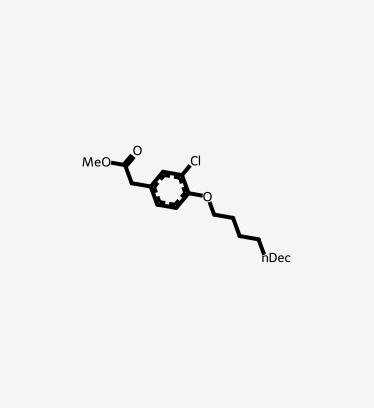 CCCCCCCCCCCCCCOc1ccc(CC(=O)OC)cc1Cl